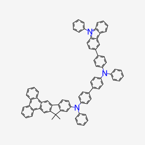 CC1(C)c2cc(N(c3ccccc3)c3ccc(-c4ccc(N(c5ccccc5)c5ccc(-c6ccc7c(c6)c6ccccc6n7-c6ccccc6)cc5)cc4)cc3)ccc2-c2cc3c4ccccc4c4ccccc4c3cc21